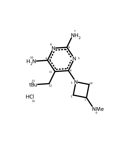 CNC1CN(c2nc(N)nc(N)c2CC(C)(C)C)C1.Cl